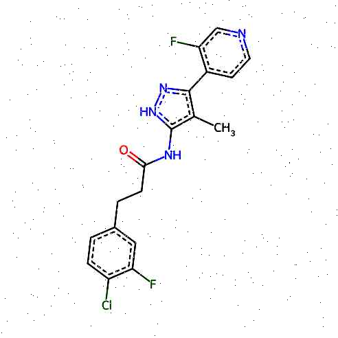 Cc1c(-c2ccncc2F)n[nH]c1NC(=O)CCc1ccc(Cl)c(F)c1